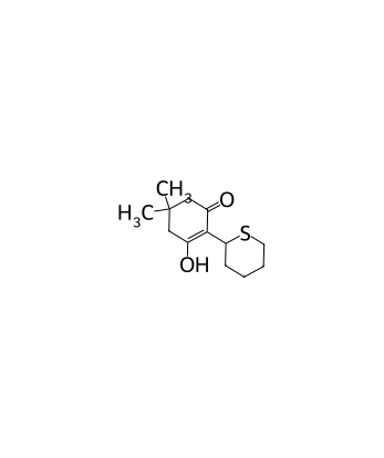 CC1(C)CC(=O)C(C2CCCCS2)=C(O)C1